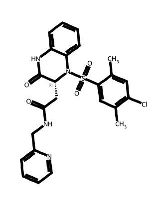 Cc1cc(S(=O)(=O)N2c3ccccc3NC(=O)[C@H]2CC(=O)NCc2ccccn2)c(C)cc1Cl